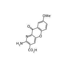 COc1ccc2oc3cc(C(=O)O)c(N)nc3c(=O)c2c1